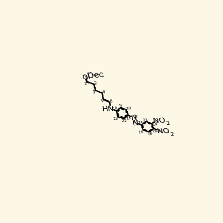 CCCCCCCCCCCCCCCCNc1ccc(N=Nc2ccc([N+](=O)[O-])c([N+](=O)[O-])c2)cc1